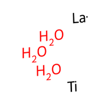 O.O.O.[La].[Ti]